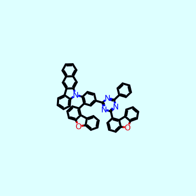 c1ccc(-c2nc(-c3ccc(-n4c5ccccc5c5cc6ccccc6cc54)c(-c4cccc5oc6ccccc6c45)c3)nc(-c3cccc4oc5ccccc5c34)n2)cc1